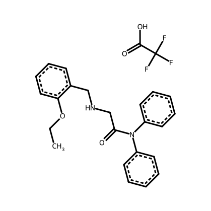 CCOc1ccccc1CNCC(=O)N(c1ccccc1)c1ccccc1.O=C(O)C(F)(F)F